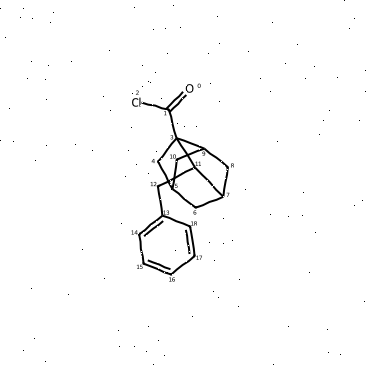 O=C(Cl)C12CC3CC(CC1C3)C2Cc1ccccc1